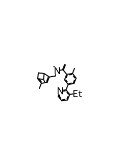 C=C(c1cc(-c2ncccc2CC)ccc1C)N(C)CC1=CC(C)=C2CC1C2C